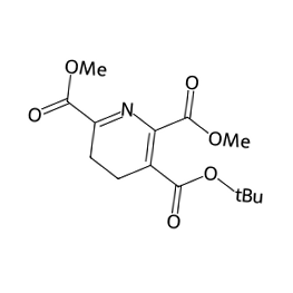 COC(=O)C1=NC(C(=O)OC)=C(C(=O)OC(C)(C)C)CC1